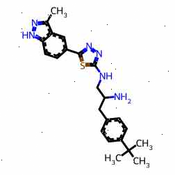 Cc1n[nH]c2ccc(-c3nnc(NCC(N)Cc4ccc(C(C)(C)C)cc4)s3)cc12